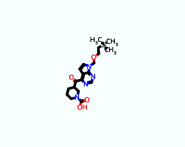 C[Si](C)(C)CCOCn1ccc2c(C(=O)C3CCCN(C(=O)O)C3)ncnc21